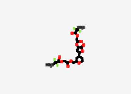 O=C(COC(=O)C(F)(F)S(=O)(=O)O)OCC1CC(C2CC(OC(=O)COC(=O)C(F)(F)S(=O)(=O)O)C(=O)O2)CCO1